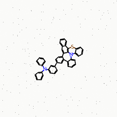 c1ccc(N(c2ccccc2)c2cccc(-c3ccc4c(c3)-c3ccccc3N3c5ccccc5Sc5c3c-4cc3ccccc53)c2)cc1